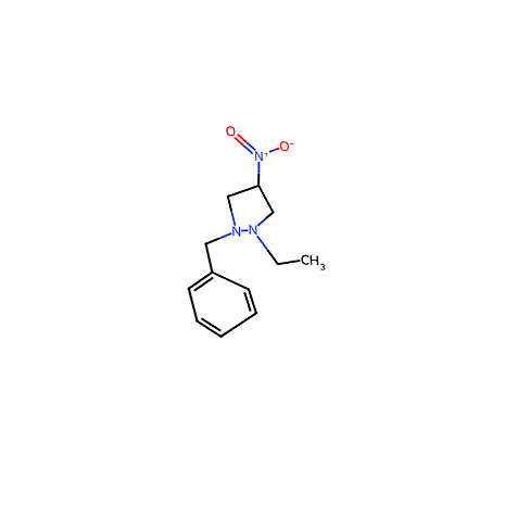 CCN1CC([N+](=O)[O-])CN1Cc1ccccc1